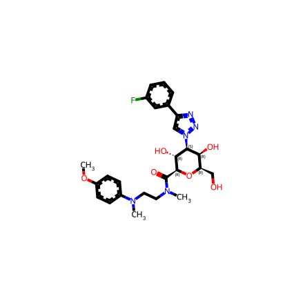 COc1ccc(N(C)CCN(C)C(=O)[C@@H]2O[C@H](CO)[C@H](O)[C@H](n3cc(-c4cccc(F)c4)nn3)[C@H]2O)cc1